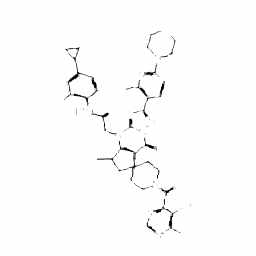 Cc1nc(N2CCOCC2)ccc1-c1nc2n(CC(=O)Nc3ccc(C4CC4)cc3F)c3c(c(=O)n2n1)C1(CCN(C(=O)c2ncnc(C)c2O)CC1)CC3C